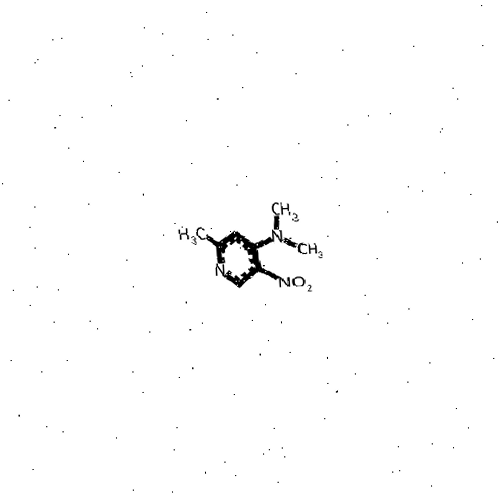 Cc1cc(N(C)C)c([N+](=O)[O-])cn1